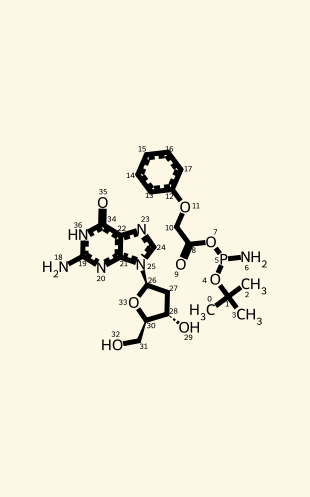 CC(C)(C)OP(N)OC(=O)COc1ccccc1.Nc1nc2c(ncn2[C@H]2C[C@H](O)[C@@H](CO)O2)c(=O)[nH]1